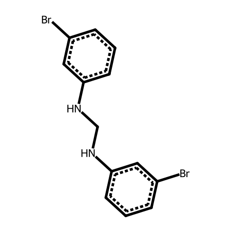 Brc1cccc(NCNc2cccc(Br)c2)c1